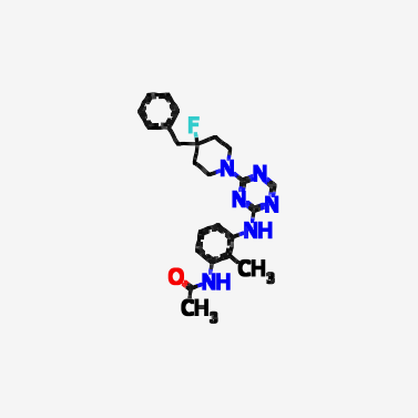 CC(=O)Nc1cccc(Nc2ncnc(N3CCC(F)(Cc4ccccc4)CC3)n2)c1C